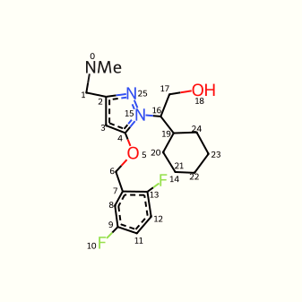 CNCc1cc(OCc2cc(F)ccc2F)n(C(CO)C2CCCCC2)n1